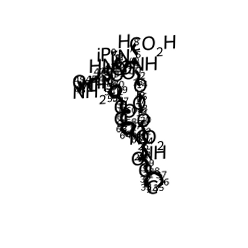 CC(C)[C@H](NC(=O)[C@H](CCC(=O)O)NC(=O)CCOCCOCCOCCOCCNC(=O)COC1C#CCCCCC1)C(=O)N[C@@H](CCCNC(N)=O)C(=O)Nc1ccc(COC(=O)Oc2ccc([N+](=O)[O-])cc2)cc1